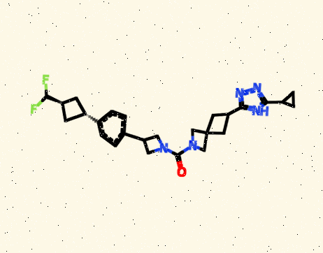 O=C(N1CC(c2ccc([C@H]3C[C@H](C(F)F)C3)cc2)C1)N1CC2(CC(c3nnc(C4CC4)[nH]3)C2)C1